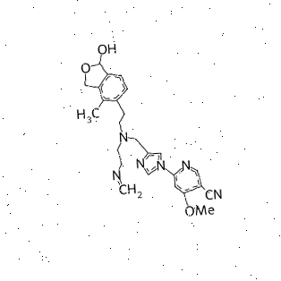 C=NCCN(CCc1ccc2c(c1C)COC2O)Cc1cn(-c2cc(OC)c(C#N)cn2)cn1